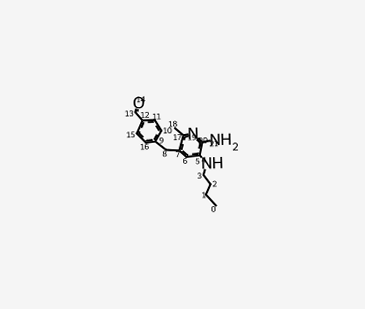 CCCCNc1cc(Cc2ccc(C=O)cc2)c(C)nc1N